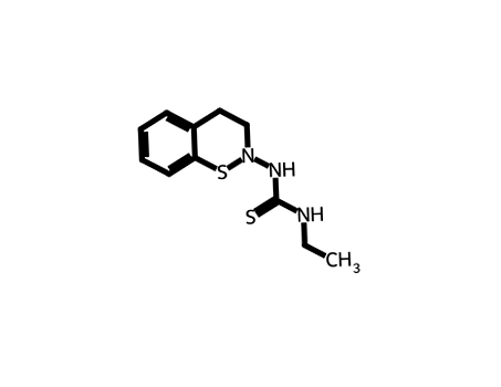 CCNC(=S)NN1CCc2ccccc2S1